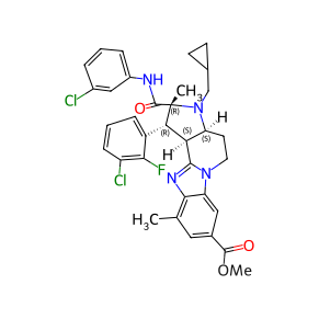 COC(=O)c1cc(C)c2nc3n(c2c1)CC[C@H]1[C@@H]3[C@H](c2cccc(Cl)c2F)[C@](C)(C(=O)Nc2cccc(Cl)c2)N1CC1CC1